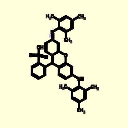 Cc1cc(C)c(/N=c2/ccc3c(-c4ccccc4S(=O)(=O)O)c4ccc(Nc5c(C)cc(C)cc5C)cc4oc-3c2)c(C)c1